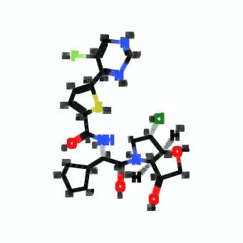 O=C(N[C@H](C(=O)N1C[C@H](Cl)[C@H]2OCC(=O)[C@H]21)C1CCCC1)c1ccc(-c2ncncc2F)s1